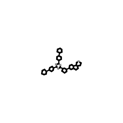 c1ccc(-c2ccc(-c3nc(-c4ccc(-c5ccccc5)cc4)nc(-c4cccc(-c5ccc6c(ccc7ccncc76)c5)c4)n3)cc2)cc1